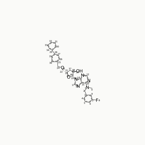 CN(Cc1cccc(F)c1)c1ncnc2c1ncn2[C@@H]1O[C@H](COCc2ccc(-c3ccccc3)cc2)C[C@H]1O